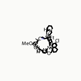 CCO[C@@]1(CN2CCN3CCCC[C@@H]3C2)/C=C/C[C@H](C)[C@@H](CCOC)S(=O)(=O)NC(=O)c2ccc3c(n2)N(C[C@@H]2CC[C@H]21)C[C@@]1(CCCc2cc(Cl)ccc21)CO3